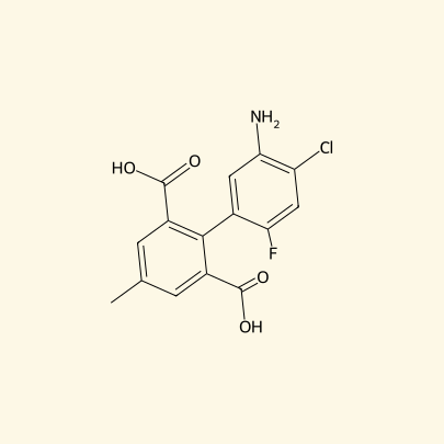 Cc1cc(C(=O)O)c(-c2cc(N)c(Cl)cc2F)c(C(=O)O)c1